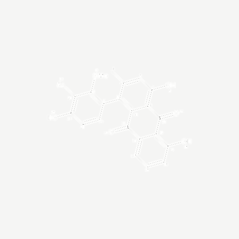 COc1c(-c2c(C)cc(O)c3c2C(=O)c2cccc(O)c2C3=O)[c]cc(O)c1C(C)=O